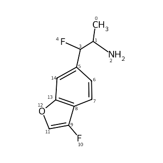 CC(N)C(F)c1ccc2c(F)coc2c1